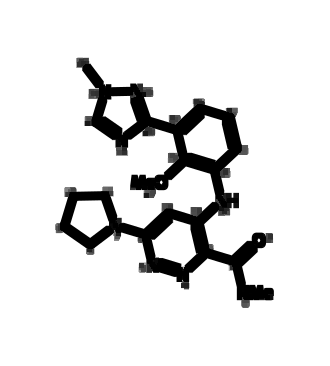 CNC(=O)c1nnc(N2CCCC2)cc1Nc1cccc(-c2ncn(C)n2)c1OC